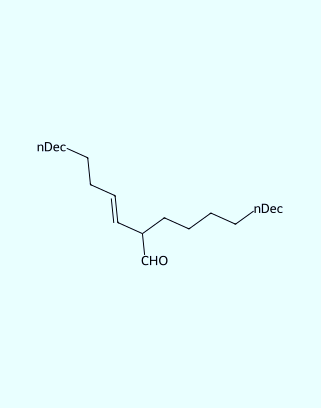 CCCCCCCCCCCCC=CC(C=O)CCCCCCCCCCCCCC